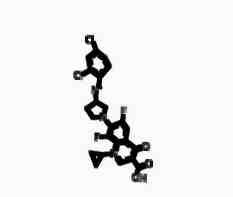 O=C(O)c1cn(C2CC2)c2c(F)c(N3CCC(N=Cc4ccc(Cl)cc4Cl)C3)c(F)cc2c1=O